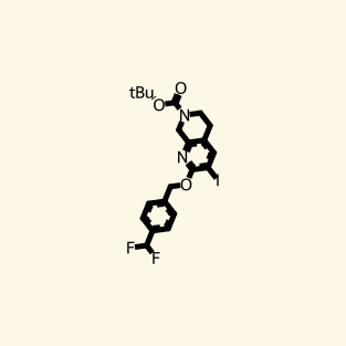 CC(C)(C)OC(=O)N1CCc2cc(I)c(OCc3ccc(C(F)F)cc3)nc2C1